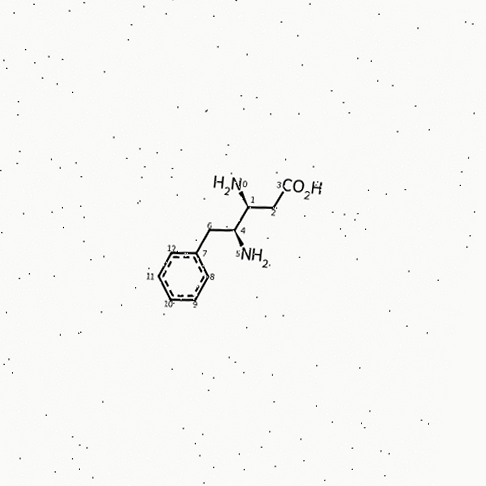 N[C@@H](CC(=O)O)[C@@H](N)Cc1ccccc1